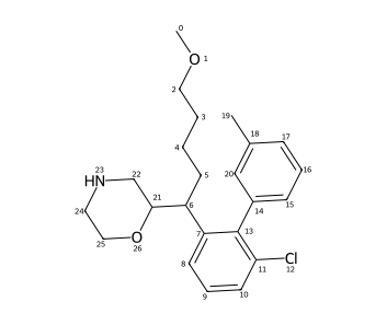 COCCCCC(c1cccc(Cl)c1-c1cccc(C)c1)C1CNCCO1